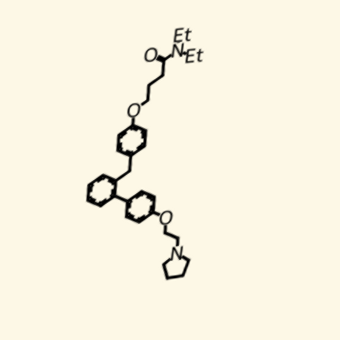 CCN(CC)C(=O)CCCOc1ccc(Cc2ccccc2-c2ccc(OCCN3CCCC3)cc2)cc1